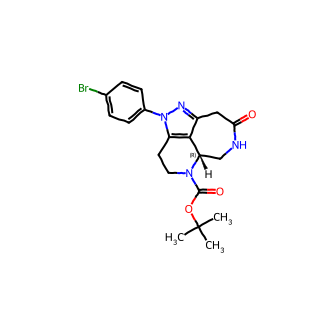 CC(C)(C)OC(=O)N1CCc2c3c(nn2-c2ccc(Br)cc2)CC(=O)NC[C@@H]31